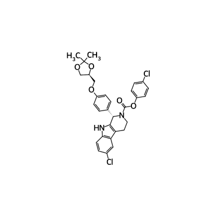 CC1(C)OC[C@H](COc2ccc([C@H]3c4[nH]c5ccc(Cl)cc5c4CCN3C(=O)Oc3ccc(Cl)cc3)cc2)O1